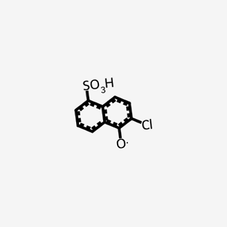 [O]c1c(Cl)ccc2c(S(=O)(=O)O)cccc12